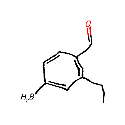 Bc1ccc(C=O)c(CC)c1